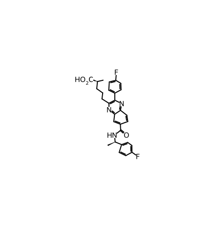 C[C@@H](CCCc1nc2cc(C(=O)N[C@H](C)c3ccc(F)cc3)ccc2nc1-c1ccc(F)cc1)C(=O)O